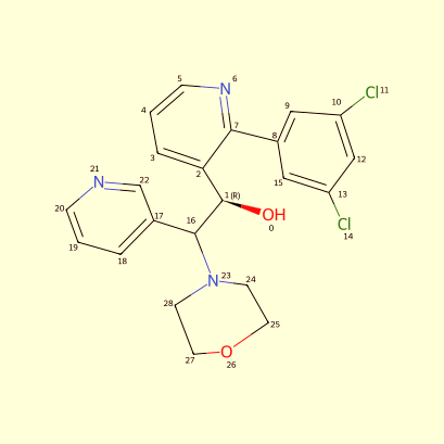 O[C@H](c1cccnc1-c1cc(Cl)cc(Cl)c1)C(c1cccnc1)N1CCOCC1